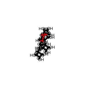 CNC(=O)[C@H](CNC(=O)[C@H](CCNC(=O)CCC(C(=O)O)N1CCN(CC(=O)O)CCN(CC(=O)O)CCN(CC(=O)O)CC1)NC(=O)CCC(C(=O)O)N1CCN(CC(=O)O)CCN(CC(=O)O)CCN(CC(=O)O)CC1)NC(=O)[C@H](CNC(=O)CCC(C(=O)O)N1CCN(CC(=O)O)CCN(CC(=O)O)CCN(CC(=O)O)CC1)NC(=O)CCC(C(=O)O)N1CCN(CC(=O)O)CCN(CC(=O)O)CCN(CC(=O)O)CC1